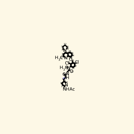 CC(=O)Nc1ccc(/C=C/C(=O)NCC(=O)N(C)c2ccc(Cl)c(COc3cccc4c(N5CCCCC5)cc(C)nc34)c2Cl)cn1